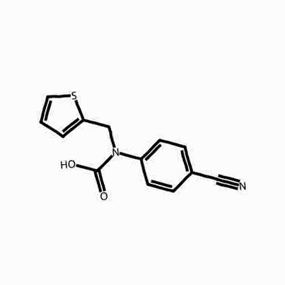 N#Cc1ccc(N(Cc2cccs2)C(=O)O)cc1